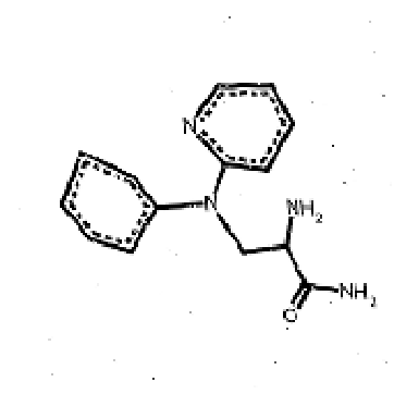 NC(=O)C(N)CN(c1ccccc1)c1ccccn1